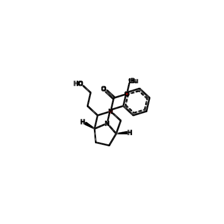 CC(C)(C)OC(=O)N1C[C@@H]2CC[C@H](C1CCO)N2Cc1ccccc1